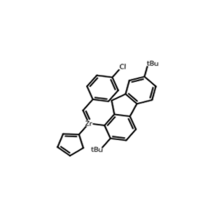 CC(C)(C)c1ccc2c(c1)Cc1c-2ccc(C(C)(C)C)[c]1/[Zr](=[CH]\c1ccc(Cl)cc1)[C]1=CC=CC1